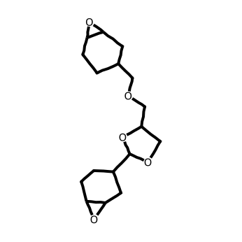 C1CC2OC2CC1COCC1COC(C2CCC3OC3C2)O1